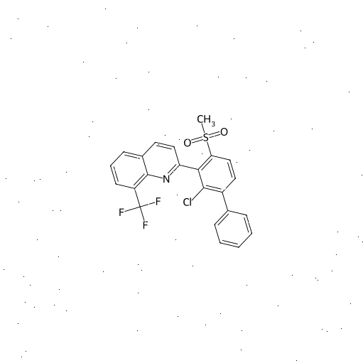 CS(=O)(=O)c1ccc(-c2ccccc2)c(Cl)c1-c1ccc2cccc(C(F)(F)F)c2n1